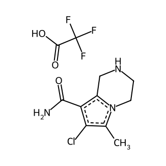 Cc1c(Cl)c(C(N)=O)c2n1CCNC2.O=C(O)C(F)(F)F